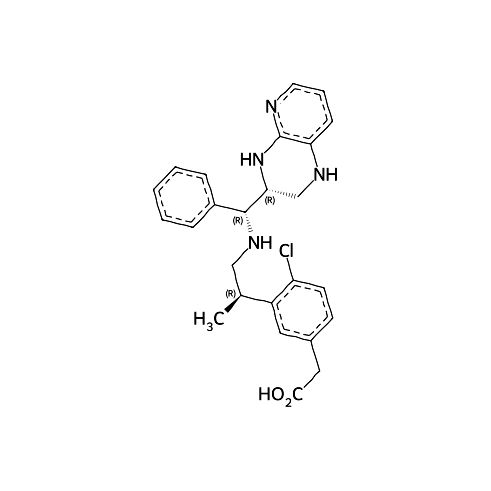 C[C@@H](CN[C@H](c1ccccc1)[C@H]1CNc2cccnc2N1)c1cc(CC(=O)O)ccc1Cl